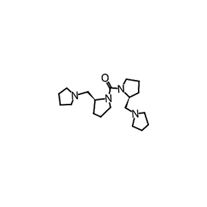 O=C(N1CCC[C@H]1CN1CCCC1)N1CCC[C@H]1CN1CCCC1